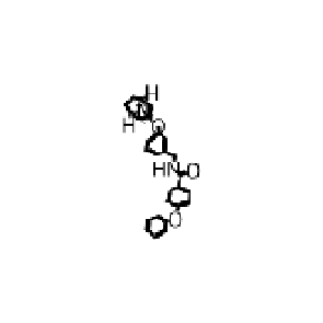 CN1[C@@H]2CC[C@H]1C[C@H](Oc1cccc(CNC(=O)c3ccc(Oc4ccccc4)cc3)c1)C2